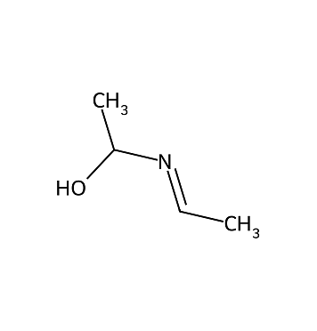 CC=NC(C)O